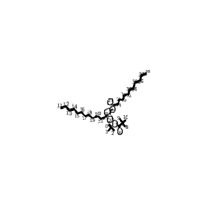 CC(C)(C)OC(=O)C(C)(C)C.CCCCCCCCCCCC(=O)OOC(=O)CCCCCCCCCCC